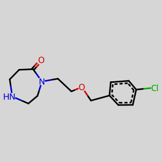 O=C1CCNCCN1CCOCc1ccc(Cl)cc1